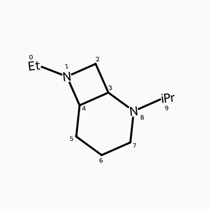 CCN1CC2C1CCCN2C(C)C